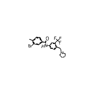 Cc1ccc(C(=O)Nc2ccc(CN3CCCC3)c(C(F)(F)F)c2)cc1Br